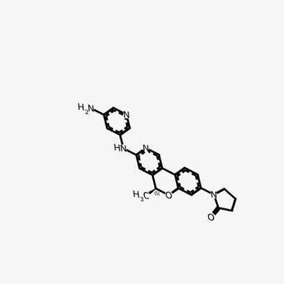 C[C@@H]1Oc2cc(N3CCCC3=O)ccc2-c2cnc(Nc3cncc(N)c3)cc21